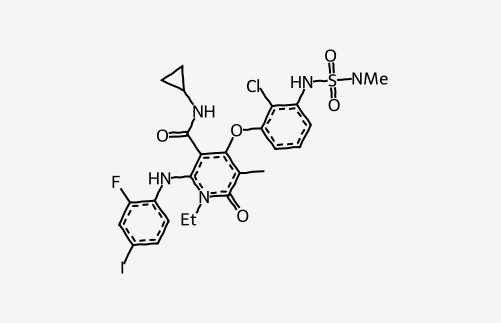 CCn1c(Nc2ccc(I)cc2F)c(C(=O)NC2CC2)c(Oc2cccc(NS(=O)(=O)NC)c2Cl)c(C)c1=O